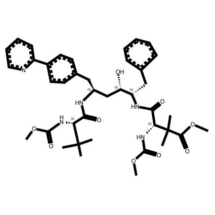 COC(=O)N[C@H](C(=O)N[C@@H](Cc1ccc(-c2ccccn2)cc1)C[C@H](O)[C@H](Cc1ccccc1)NC(=O)[C@@H](NC(=O)OC)C(C)(C)C(=O)OC)C(C)(C)C